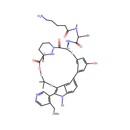 CCn1c(-c2cnccc2COC)c2c3cc(ccc31)-c1cc(O)cc(c1)C[C@H](NC(=O)C(C(C)C)N(C)C(=O)CCCCN)C(=O)N1CCC[C@H](N1)C(=O)OCC(C)(C)C2